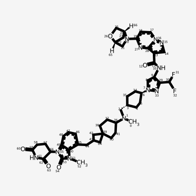 CN(C[C@H]1CC[C@H](n2cc(NC(=O)c3cnn4ccc(N5C[C@H]6C[C@@H]5CO6)nc34)c(C(F)F)n2)CC1)C1CCC2(CC1)CC(Cc1cccc3c1n(C)c(=O)n3C1CCC(=O)NC1=O)C2